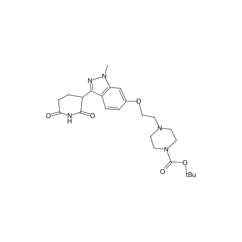 Cn1nc(C2CCC(=O)NC2=O)c2ccc(OCCN3CCN(C(=O)OC(C)(C)C)CC3)cc21